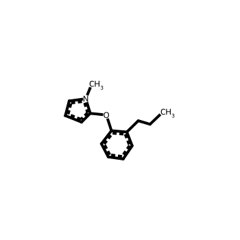 CCCc1ccccc1Oc1cccn1C